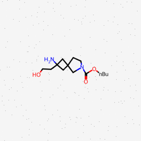 CCCCOC(=O)N1CCC2(C1)CC(N)(CCO)C2